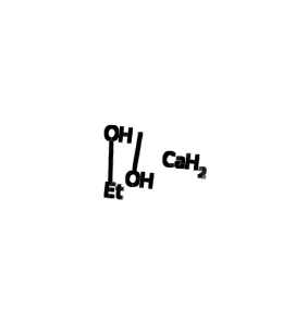 CCO.CO.[CaH2]